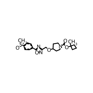 C[S+]([O-])c1ccc(-c2nc(COC3CCN(C(=O)OC4(C)CCC4)CC3)no2)cc1